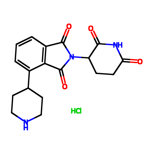 Cl.O=C1CCC(N2C(=O)c3cccc(C4CCNCC4)c3C2=O)C(=O)N1